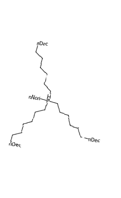 CCCCCCCCCCCCCCCC[PH](CCCCCCCCC)(CCCCCCCCCCCCCCCC)CCCCCCCCCCCCCCCC